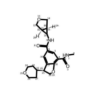 CNC(=O)c1cc(C(=O)NC2[C@H]3COC[C@@H]23)cc2c1OC[C@H]2C1CCOCC1